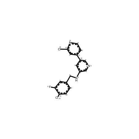 Fc1cc(CNc2cncc(-c3ccnc(Cl)c3)c2)ccc1Cl